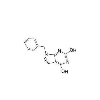 Oc1nc(O)c2cnn(Cc3ccccc3)c2n1